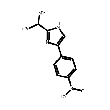 CCCC(CCC)c1nc(-c2ccc(B(O)O)cc2)c[nH]1